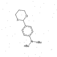 CCCCN(CCCC)c1ccc(C2OCCCS2)cc1